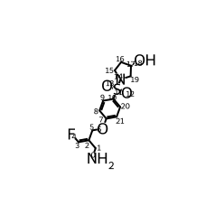 NC/C(=C/F)COc1ccc(S(=O)(=O)N2CC[C@H](O)C2)cc1